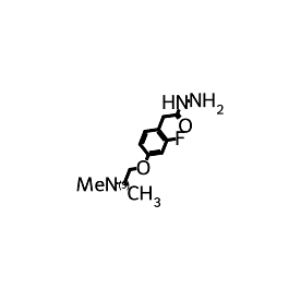 CN[C@@H](C)COc1ccc(CC(=O)NN)c(F)c1